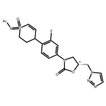 CC(=O)N=S1(=O)C=CC(c2ccc(N3C[C@H](Cn4ccnn4)OC3=O)cc2F)CC1